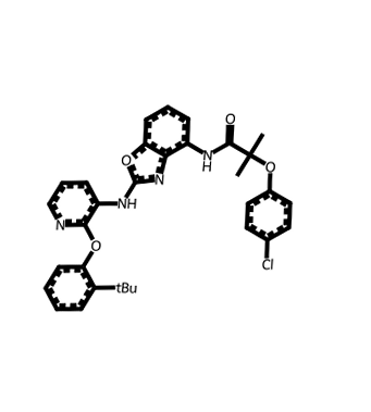 CC(C)(Oc1ccc(Cl)cc1)C(=O)Nc1cccc2oc(Nc3cccnc3Oc3ccccc3C(C)(C)C)nc12